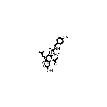 COc1ccc(CNC(=O)N2[C@H]3CN(CC(C)C)C(=O)[C@H](CC(=O)O)N3C(=O)CN2C)cc1